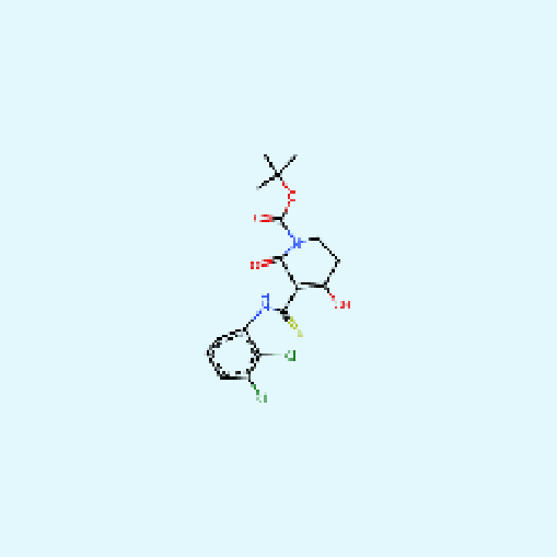 CC(C)(C)OC(=O)N1CCC(O)=C(C(=S)Nc2cccc(Cl)c2Cl)C1=O